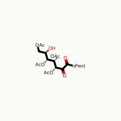 CCCCCC(=O)C(=O)[C@H](OC(C)=O)[C@@H](OC(C)=O)[C@H](OC(C)=O)[C@H](O)COC(C)=O